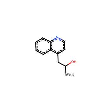 CCCCCC(O)Cc1ccnc2ccccc12